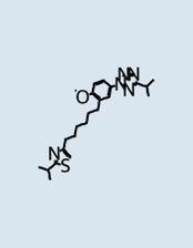 COc1ccc(-n2nnc(C(C)C)n2)cc1CCCCCCc1csc(C(C)C)n1